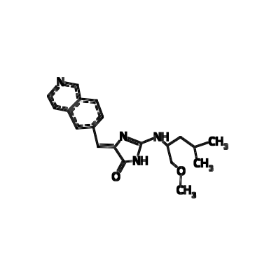 COCC(CC(C)C)NC1=N/C(=C\c2ccc3cnccc3c2)C(=O)N1